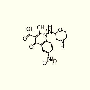 Cc1c(C(=O)O)c(=O)c2cc([N+](=O)[O-])ccc2n1NC1CNCCO1